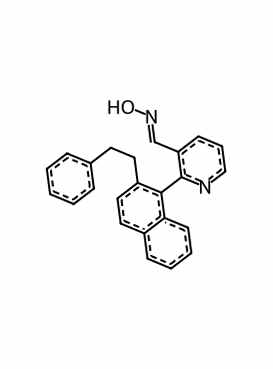 ON=Cc1cccnc1-c1c(CCc2ccccc2)ccc2ccccc12